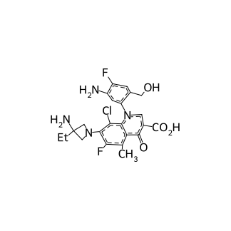 CCC1(N)CN(c2c(F)c(C)c3c(=O)c(C(=O)O)cn(-c4cc(N)c(F)cc4CO)c3c2Cl)C1